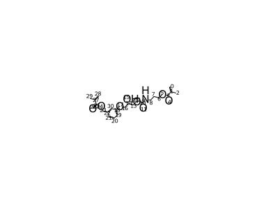 C=C(C)C(=O)OCCCNC(=O)OCC(O)COc1cccc(COC(=O)C(=C)C)c1